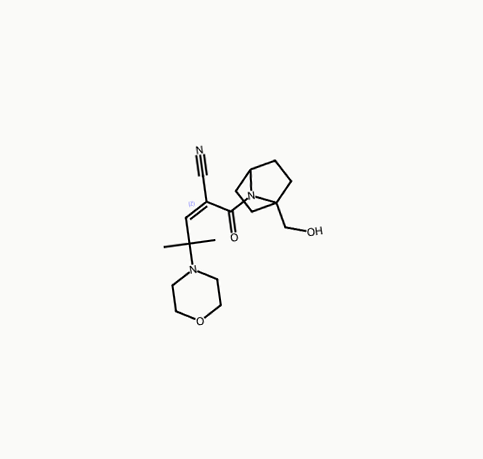 CC(C)(/C=C(/C#N)C(=O)N1C2CCC1(CO)CC2)N1CCOCC1